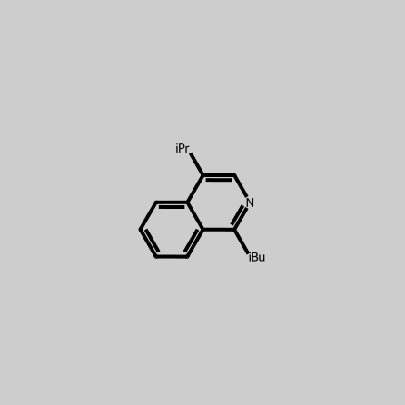 CCC(C)c1ncc(C(C)C)c2ccccc12